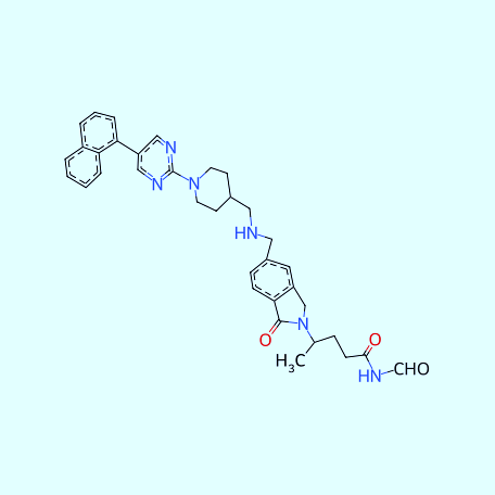 CC(CCC(=O)NC=O)N1Cc2cc(CNCC3CCN(c4ncc(-c5cccc6ccccc56)cn4)CC3)ccc2C1=O